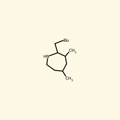 CCC(C)CC1NCCC(C)CC1C